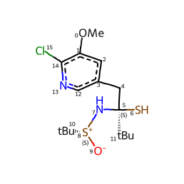 COc1cc(C[C@@](S)(N[S@+]([O-])C(C)(C)C)C(C)(C)C)cnc1Cl